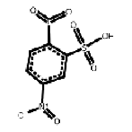 O=[N+]([O-])c1ccc(I(=O)=O)c(S(=O)(=O)O)c1